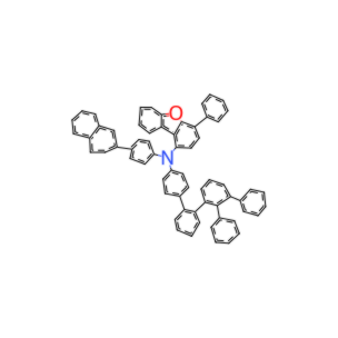 c1ccc(-c2cccc(-c3ccccc3-c3ccc(N(c4ccc(-c5ccc6ccccc6c5)cc4)c4ccc(-c5ccccc5)c5oc6ccccc6c45)cc3)c2-c2ccccc2)cc1